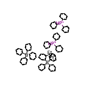 CC[Si](CC)(CC)c1ccccc1[B-](c1ccccc1)(c1ccccc1)c1ccccc1.c1ccc([B-](c2ccccc2)(c2ccccc2)c2ccccc2)cc1.c1ccc([PH+](c2ccccc2)c2ccccc2)cc1.c1ccc([PH+](c2ccccc2)c2ccccc2)cc1